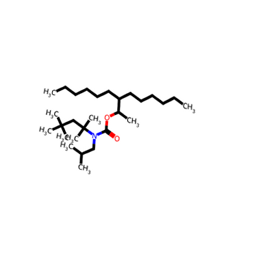 CCCCCCC(CCCCCC)C(C)OC(=O)N(CC(C)C)C(C)(C)CC(C)(C)C